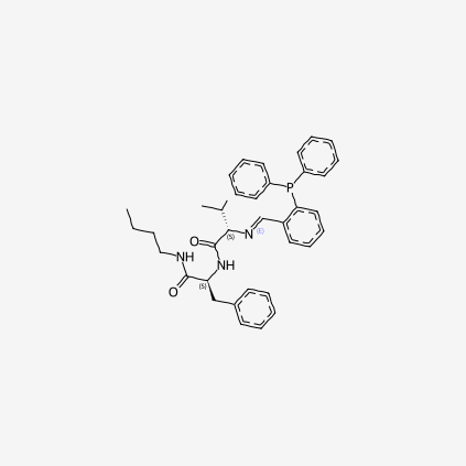 CCCCNC(=O)[C@H](Cc1ccccc1)NC(=O)[C@@H](/N=C/c1ccccc1P(c1ccccc1)c1ccccc1)C(C)C